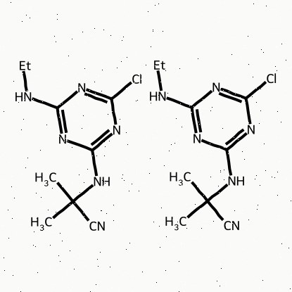 CCNc1nc(Cl)nc(NC(C)(C)C#N)n1.CCNc1nc(Cl)nc(NC(C)(C)C#N)n1